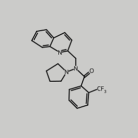 O=C(c1ccccc1C(F)(F)F)N(Cc1ccc2ccccc2n1)N1CCCC1